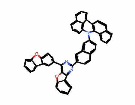 c1ccc2c3c(ccc2c1)-c1cccc2cccc(c12)N3c1ccc2ccc(-c3nc(-c4ccc5oc6ccccc6c5c4)c4oc5ccccc5c4n3)cc2c1